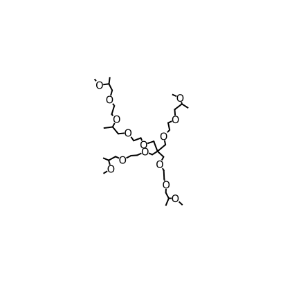 COC(C)COCCOCC(COCCOCC(C)OC)(COCCOCC(C)OC)COCCOCC(C)OCCOCC(C)OC